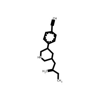 C#Cc1ccc(C2CNCC(CC(=C)CC)C2)cc1